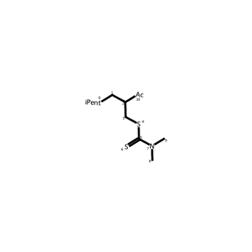 CCCC(C)CC(CSC(=S)N(C)C)C(C)=O